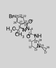 CC(C)c1nn(CC(=O)NC2CCCN(C3CC3)C2)c(=O)c2ccc(Br)cc12